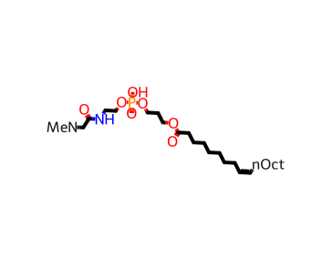 CCCCCCCC/C=C\CCCCCCCC(=O)OCCCOP(=O)(O)OCCNC(=O)CNC